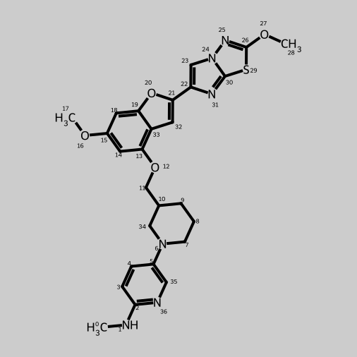 CNc1ccc(N2CCCC(COc3cc(OC)cc4oc(-c5cn6nc(OC)sc6n5)cc34)C2)cn1